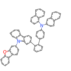 c1ccc(-c2ccc3c4ccccc4n(-c4ccc5c(c4)oc4ccccc45)c3c2)c(-c2ccc(N(c3ccc4ccccc4c3)c3cccc4ccccc34)cc2)c1